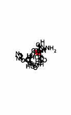 Nc1nc2c(ncn2[C@]23CO[C@@H](COP(=O)(O)O[C@H]4C[C@H](Oc5ccncn5)C[C@@H]4COP(=O)(O)O2)[C@H]3O)c(=O)[nH]1